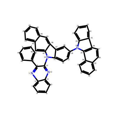 c1ccc(-c2nc3ccccc3nc2-n2c3ccc(-n4c5ccccc5c5ccc6ccccc6c54)cc3c3cc4ccccc4cc32)cc1